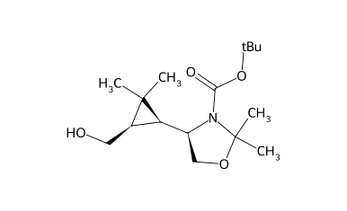 CC(C)(C)OC(=O)N1[C@H]([C@H]2[C@@H](CO)C2(C)C)COC1(C)C